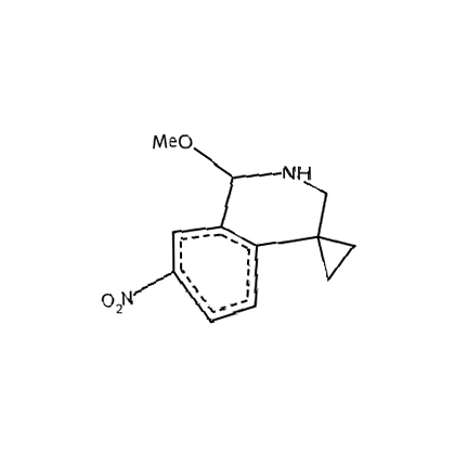 COC1NCC2(CC2)c2ccc([N+](=O)[O-])cc21